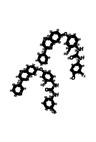 O=C(Nc1ccc(Cl)c(F)c1)Nc1ccc(Oc2ccc3ncc(-c4cccnc4)nc3c2)cc1F.O=C(Nc1cccc(F)c1)Nc1ccc(Oc2ccc3ncc(-c4cccnc4)nc3c2)cc1F